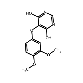 COc1ccc(Oc2c(O)ncnc2O)cc1OC